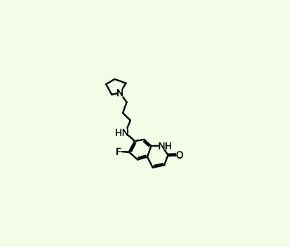 O=c1ccc2cc(F)c(NCCCN3CCCC3)cc2[nH]1